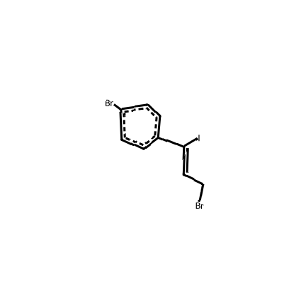 BrC/C=C(\I)c1ccc(Br)cc1